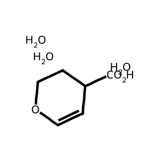 O.O.O.O=C(O)C1C=COCC1